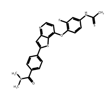 CC(=S)Nc1ccc(Oc2ccnc3cc(-c4ccc(C(=O)N(C)C)cc4)sc23)c(F)c1